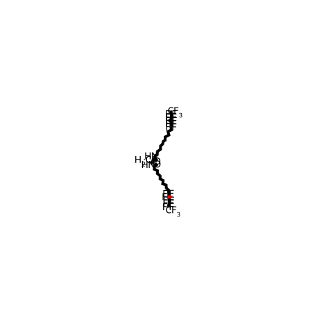 [CH2]C(NC(=O)CCCCCCCCCCC(F)(F)C(F)(F)C(F)(F)C(F)(F)C(F)(F)C(F)(F)F)C(=O)NCCCCCCCCCCCC(F)(F)C(F)(F)C(F)(F)C(F)(F)C(F)(F)C(F)(F)F